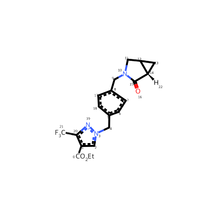 CCOC(=O)c1cn(Cc2ccc(CN3CC4C[C@@H]4C3=O)cc2)nc1C(F)(F)F